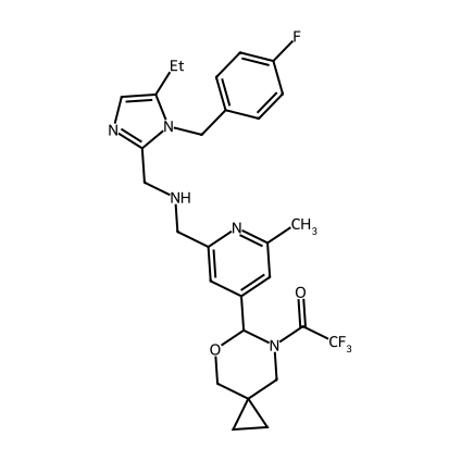 CCc1cnc(CNCc2cc(C3OCC4(CC4)CN3C(=O)C(F)(F)F)cc(C)n2)n1Cc1ccc(F)cc1